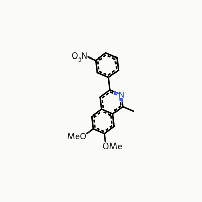 COc1cc2cc(-c3cccc([N+](=O)[O-])c3)nc(C)c2cc1OC